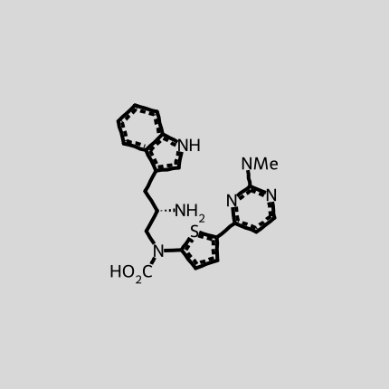 CNc1nccc(-c2ccc(N(C[C@@H](N)Cc3c[nH]c4ccccc34)C(=O)O)s2)n1